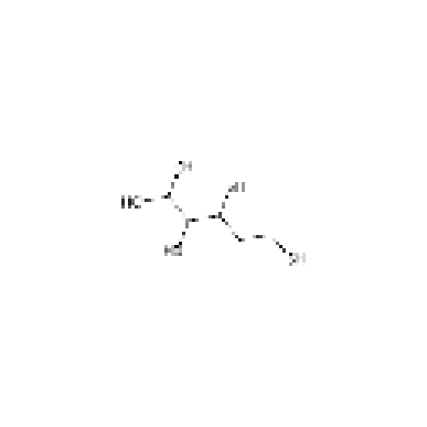 OC(S)C(S)C(S)CCS